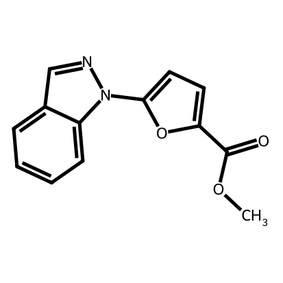 COC(=O)c1ccc(-n2ncc3ccccc32)o1